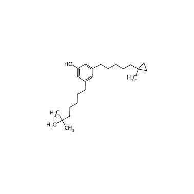 CC(C)(C)CCCCCc1cc(O)cc(CCCCCC2(C)CC2)c1